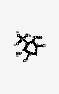 COc1c(Cl)cc(Cl)cc1S(=O)(=O)[O-].[Na+]